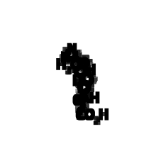 C[C@]12CC[C@@H]3c4ccc(NC(=O)CCC(=O)O)cc4CC[C@H]3[C@@H]1CC=C2c1cncnc1